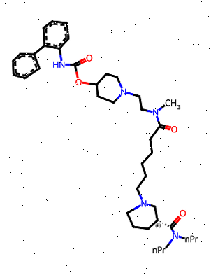 CCCN(CCC)C(=O)[C@@H]1CCCN(CCCCCC(=O)N(C)CCN2CCC(OC(=O)Nc3ccccc3-c3ccccc3)CC2)C1